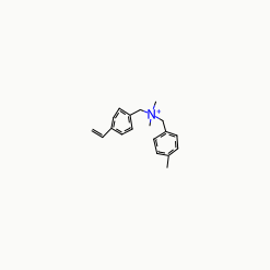 C=Cc1ccc(C[N+](C)(C)Cc2ccc(C)cc2)cc1